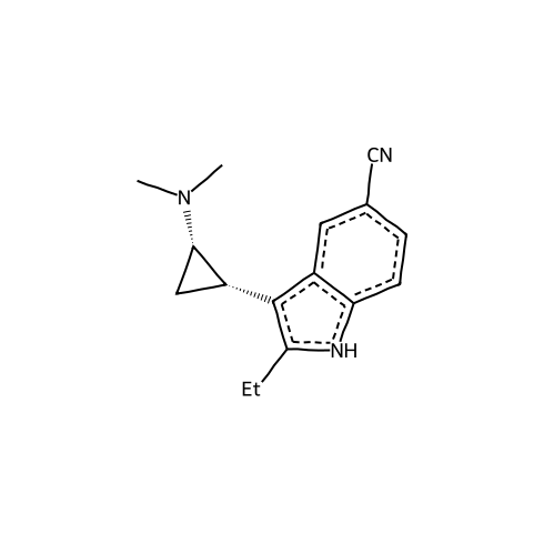 CCc1[nH]c2ccc(C#N)cc2c1[C@@H]1C[C@@H]1N(C)C